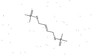 C=P(C)(C)SCC=CCSP(=C)(C)C